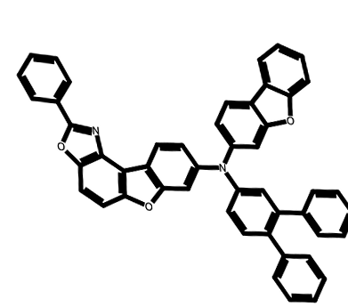 c1ccc(-c2nc3c(ccc4oc5cc(N(c6ccc(-c7ccccc7)c(-c7ccccc7)c6)c6ccc7c(c6)oc6ccccc67)ccc5c43)o2)cc1